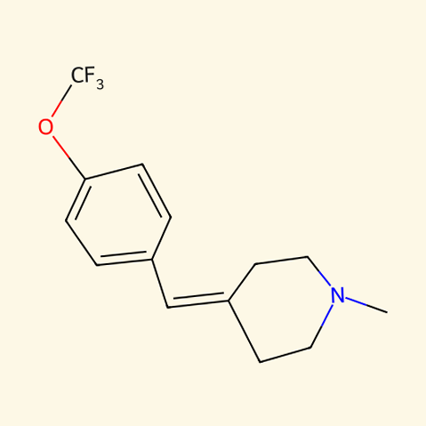 CN1CCC(=Cc2ccc(OC(F)(F)F)cc2)CC1